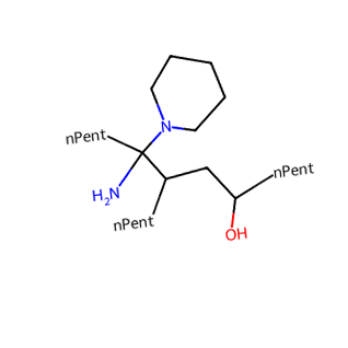 CCCCCC(O)CC(CCCCC)C(N)(CCCCC)N1CCCCC1